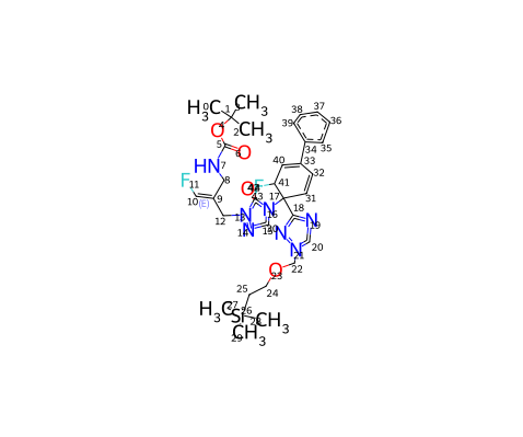 CC(C)(C)OC(=O)NC/C(=C\F)Cn1ncn(C2(c3ncn(COCC[Si](C)(C)C)n3)C=CC(c3ccccc3)=CC2F)c1=O